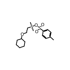 Cc1ccc(S(=O)(=O)OS(C)(C)CCOC2CCCCC2)cc1